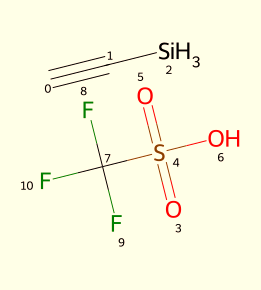 C#C[SiH3].O=S(=O)(O)C(F)(F)F